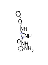 N=CC(=C\NCCOCc1ccccc1)/C=C/C(=O)Nc1ccccc1N